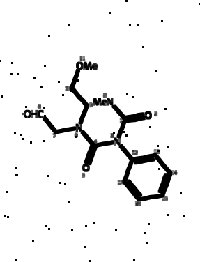 CNC(=O)N(C(=O)N(C[C]=O)CCOC)c1ccccc1